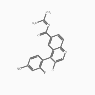 N#Cc1ccc(-c2c(Cl)cnc3ccc(C(=O)N=C(N)N)cc23)c(F)c1